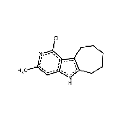 Cc1cc2[nH]c3c(c2c(Cl)n1)CCCCC3